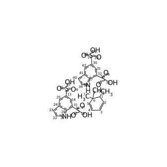 CC1C=CC=CC1(C)C.O=S(=O)(O)c1cc(S(=O)(=O)O)c2[nH]ccc2c1.O=S(=O)(O)c1cc(S(=O)(=O)O)c2[nH]ccc2c1